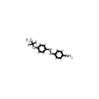 Nc1ccc(N=Nc2ccc(OC(F)(F)C(F)(F)F)cc2)cc1